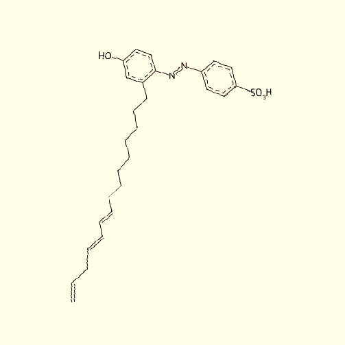 C=CC/C=C/C=C/CCCCCCCCc1cc(O)ccc1/N=N/c1ccc(S(=O)(=O)O)cc1